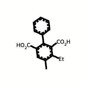 CCc1c(C)cc(C(=O)O)c(-c2ccccc2)c1C(=O)O